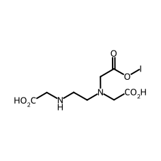 O=C(O)CNCCN(CC(=O)O)CC(=O)OI